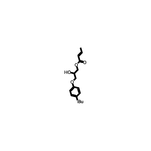 CC=CC(=O)OCC(O)COc1ccc(C(C)CC)cc1